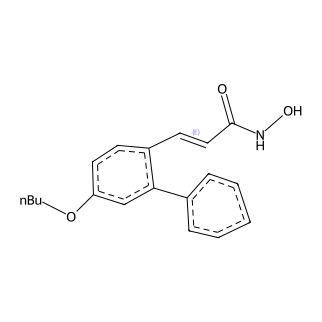 CCCCOc1ccc(/C=C/C(=O)NO)c(-c2ccccc2)c1